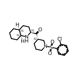 O=C([C@H]1CCCN(S(=O)(=O)c2ccccc2Cl)C1)[C@@H]1CC[C@@H]2CCCC[C@@H]2N1